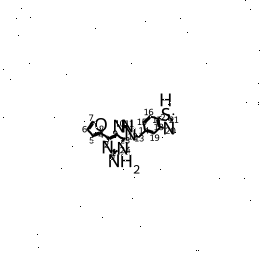 Nc1nc(-c2ccco2)c2nnn(Cc3ccc4c(c3)N=C[SH]4)c2n1